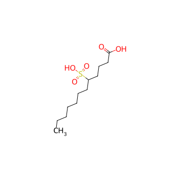 CCCCCCCC(CCCC(=O)O)S(=O)(=O)O